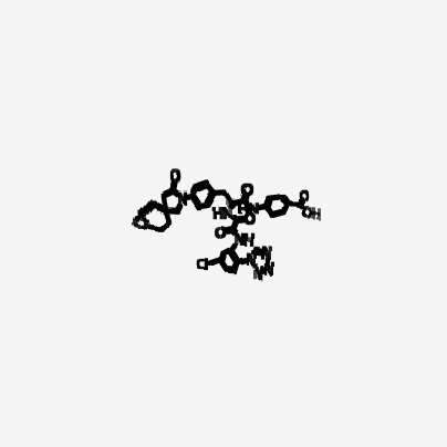 O=C(Nc1cc(Cl)ccc1-n1cnnn1)C(=O)N[C@@H](Cc1ccc(N2CC3(CCOCC3)CC2=O)cc1)C(=O)Nc1ccc(C(=O)O)cc1